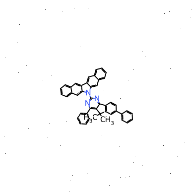 CC1(C)c2cc(-c3ccccc3)ccc2-c2nc(-n3c4cc5ccccc5cc4c4cc5ccccc5cc43)nc(-c3ccccc3)c21